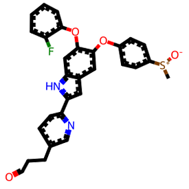 C[S+]([O-])c1ccc(Oc2cc3cc(-c4ccc(CCC=O)cn4)[nH]c3cc2Oc2ccccc2F)cc1